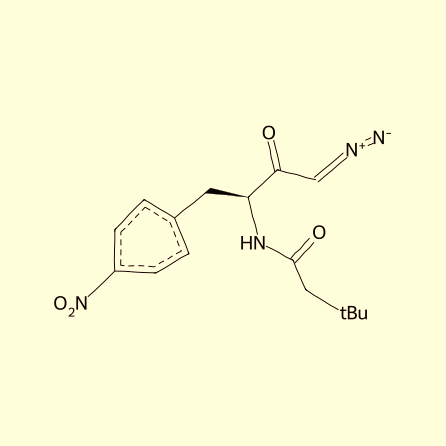 CC(C)(C)CC(=O)N[C@@H](Cc1ccc([N+](=O)[O-])cc1)C(=O)C=[N+]=[N-]